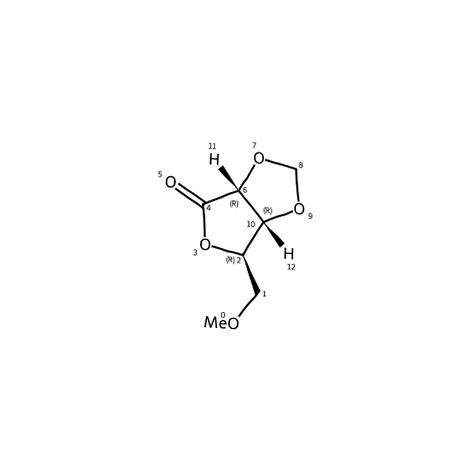 COC[C@H]1OC(=O)[C@@H]2OCO[C@H]12